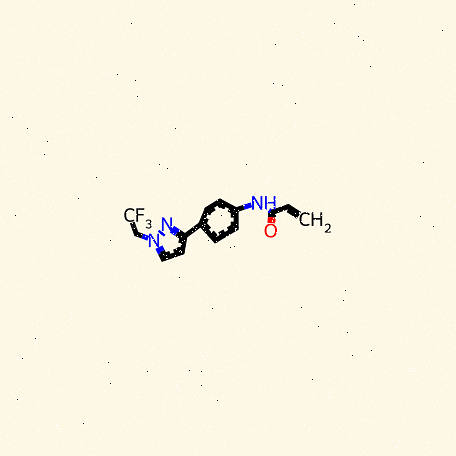 C=CC(=O)Nc1ccc(-c2ccn(CC(F)(F)F)n2)cc1